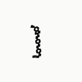 CCCCCCOc1ccc(N=Nc2ccc(N=Nc3nc4ccc(C(C)=O)cc4s3)cc2)cc1